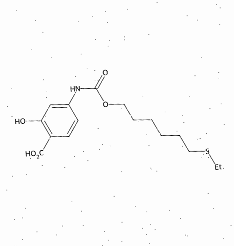 CCSCCCCCCOC(=O)Nc1ccc(C(=O)O)c(O)c1